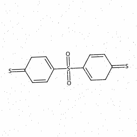 O=S(=O)(C1=CCC(=S)C=C1)C1=CCC(=S)C=C1